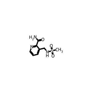 CS(=O)(=O)NCc1cccnc1C(N)=O